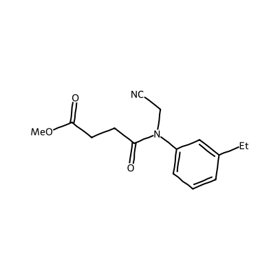 CCc1cccc(N(CC#N)C(=O)CCC(=O)OC)c1